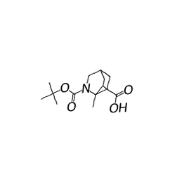 CC(C)(C)OC(=O)N1CC2CCC1(C)C(C(=O)O)C2